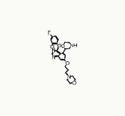 Fc1ccc(Oc2ncnc3cc(OCCCN4CCOCC4)cc(C4CNCCO4)c23)c(Cl)c1